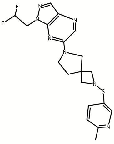 Cc1ccc(SN2CC3(CCN(c4cnc5cnn(CC(F)F)c5n4)C3)C2)cn1